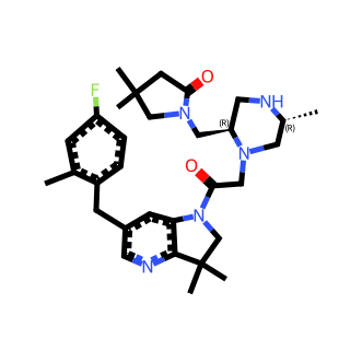 Cc1cc(F)ccc1Cc1cnc2c(c1)N(C(=O)CN1C[C@@H](C)NC[C@@H]1CN1CC(C)(C)CC1=O)CC2(C)C